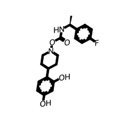 C[C@H](NC(=O)ON1CCC(c2ccc(O)cc2O)CC1)c1ccc(F)cc1